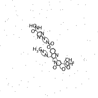 CC[C@@]1(O)C(=O)OCc2c1cc1n(c2=O)Cc2c-1nc1ccc(OC(=O)N3CCN(c4ncc(C(=O)NO)cn4)CC3)cc1c2CN1CCN(C)CC1